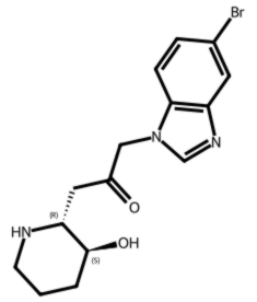 O=C(C[C@H]1NCCC[C@@H]1O)Cn1cnc2cc(Br)ccc21